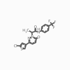 CC(C(=O)Nc1ccc(C(F)(F)F)cc1)n1nc(-c2csc(Cl)c2)ccc1=O